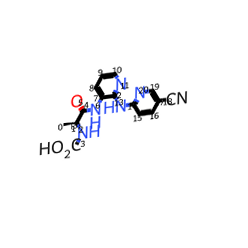 C[C@H](NC(=O)O)C(=O)Nc1cccnc1Nc1ccc(C#N)cn1